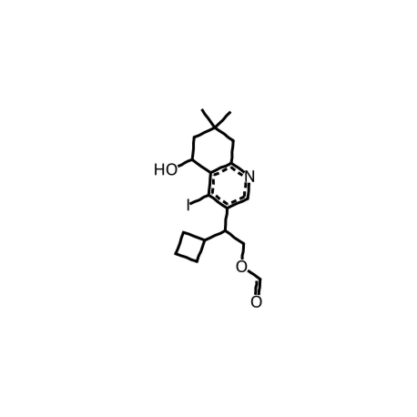 CC1(C)Cc2ncc(C(COC=O)C3CCC3)c(I)c2C(O)C1